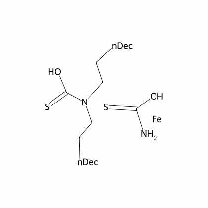 CCCCCCCCCCCCN(CCCCCCCCCCCC)C(O)=S.NC(O)=S.[Fe]